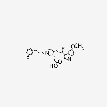 COc1ccc2nccc([C@H](F)CC[C@@H]3CCN(CCCCc4cccc(F)c4)C[C@H]3CCC(=O)O)c2c1